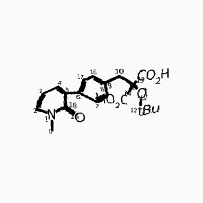 Cn1cccc(-c2ccc(CC(OC(C)(C)C)(C(=O)O)C(=O)O)cc2)c1=O